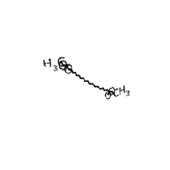 CCOC(=O)CCCCCCCCCCCCCCCCCOCOC